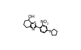 O=[N+]([O-])c1cc(N2CCCC2)ccc1-c1nc2c(s1)C(O)CCC2